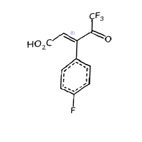 O=C(O)/C=C(/C(=O)C(F)(F)F)c1ccc(F)cc1